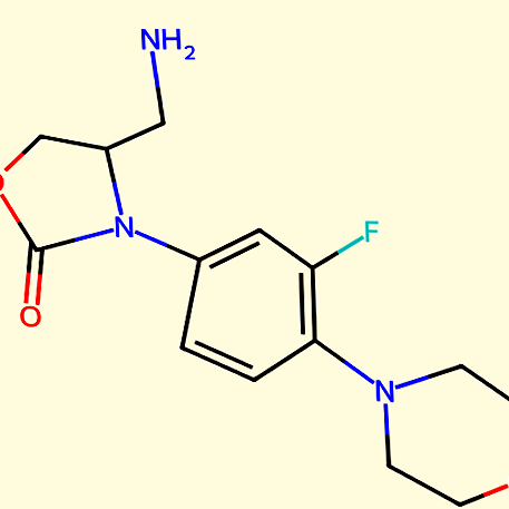 NCC1COC(=O)N1c1ccc(N2CCOCC2)c(F)c1